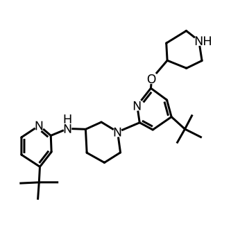 CC(C)(C)c1ccnc(NC2CCCN(c3cc(C(C)(C)C)cc(OC4CCNCC4)n3)C2)c1